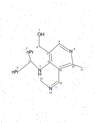 CCCC(CCC)Nc1c(CO)cnc(C)c1/C=N\C